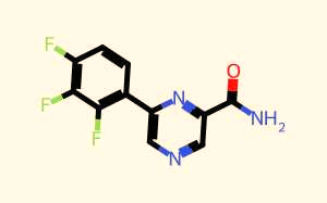 NC(=O)c1cncc(-c2ccc(F)c(F)c2F)n1